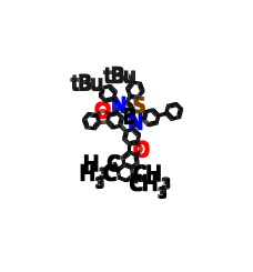 CC(C)(C)c1ccc(N2c3c(sc4ccc(C(C)(C)C)cc34)B3c4c(cc5c(oc6ccccc65)c42)-c2cc4c(cc2N3c2ccc(-c3ccccc3)cc2)oc2cc3c(cc24)C(C)(C)CCC3(C)C)cc1